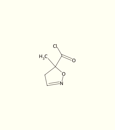 CC1(C(=O)Cl)CC=NO1